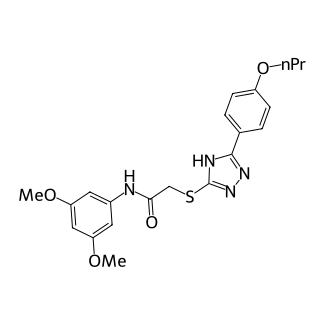 CCCOc1ccc(-c2nnc(SCC(=O)Nc3cc(OC)cc(OC)c3)[nH]2)cc1